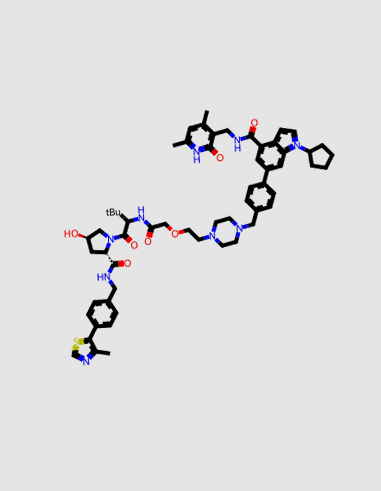 Cc1cc(C)c(CNC(=O)c2cc(-c3ccc(CN4CCN(CCOCC(=O)NC(C(=O)N5C[C@H](O)C[C@H]5C(=O)NCc5ccc(-c6scnc6C)cc5)C(C)(C)C)CC4)cc3)cc3c2ccn3C2CCCC2)c(=O)[nH]1